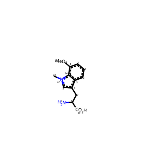 COc1cccc2c(CC(N)C(=O)O)cn(C)c12